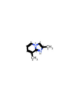 Cc1cn2cccc(C)c2n1